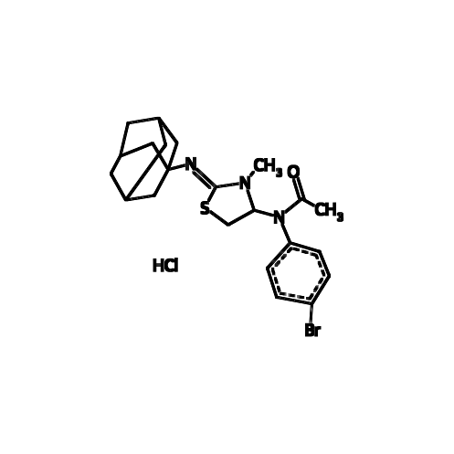 CC(=O)N(c1ccc(Br)cc1)C1CSC(=NC23CC4CC(CC(C4)C2)C3)N1C.Cl